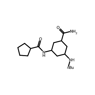 CCCCNC1CC(NC(=O)C2CCCC2)CC(C(N)=O)C1